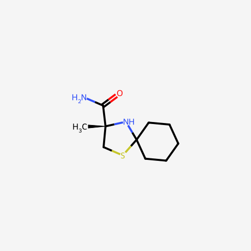 C[C@]1(C(N)=O)CSC2(CCCCC2)N1